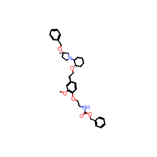 COc1cc(CCO[C@H]2CCCCC2N2CC[C@@H](OCc3ccccc3)C2)ccc1OCCNC(=O)OCc1ccccc1